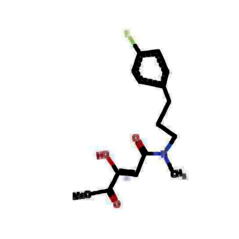 COC(=O)/C(O)=C/C(=O)N(C)CCCc1ccc(F)cc1